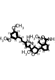 CNCc1c(C(N)=O)cccc1C1COC(C)(c2cc(CCc3cc(OC)cc(OC)c3)[nH]n2)C1